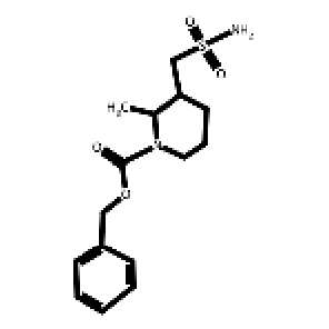 CC1C(CS(N)(=O)=O)CCCN1C(=O)OCc1ccccc1